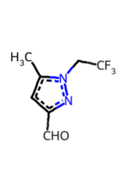 Cc1cc(C=O)nn1CC(F)(F)F